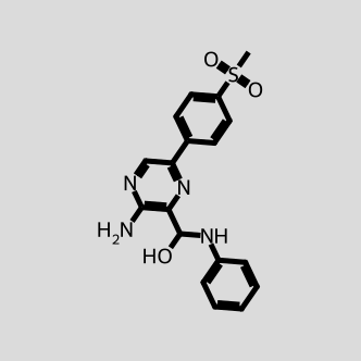 CS(=O)(=O)c1ccc(-c2cnc(N)c(C(O)Nc3ccccc3)n2)cc1